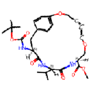 COC(=O)[C@@H]1COCCCCOc2ccc(cc2)C[C@H](NC(=O)OC(C)(C)C)C(=O)N[C@@H](C(C)C)C(=O)N1